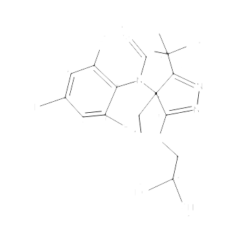 CCC1(N(C=O)c2c(F)cc(F)cc2F)C(SCC(C)C)=NN=C1C(F)(F)F